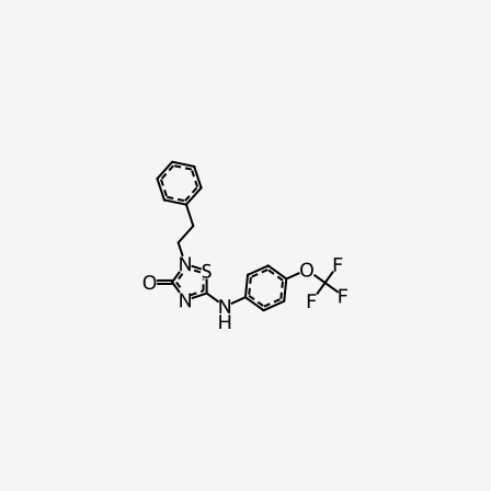 O=c1nc(Nc2ccc(OC(F)(F)F)cc2)sn1CCc1ccccc1